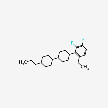 CCCC1CCC(C2CCC(c3c(CC)ccc(F)c3F)CC2)CC1